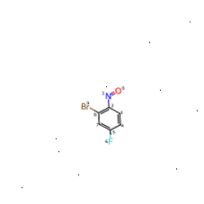 O=Nc1ccc(F)cc1Br